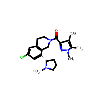 Cc1c(C(C)(C)C)c(C(=O)N2CCc3cc(Cl)cc([C@@H]4CCCN4C(=O)O)c3C2)nn1C